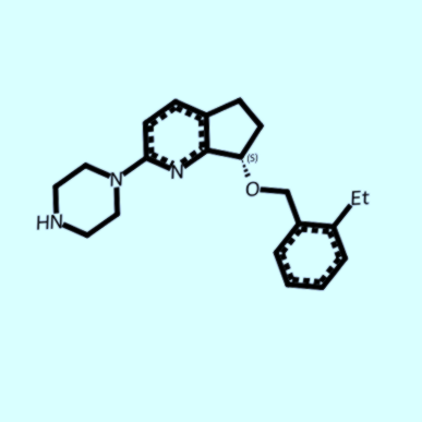 CCc1ccccc1CO[C@H]1CCc2ccc(N3CCNCC3)nc21